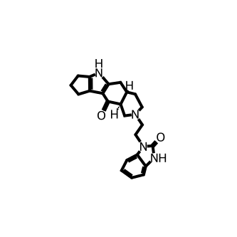 O=C1c2c([nH]c3c2CCC3)C[C@@H]2CCN(CCn3c(=O)[nH]c4ccccc43)C[C@@H]12